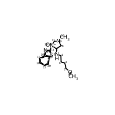 COCCCCNC1CN(C)C[N+]1([O-])c1nc2ccccc2s1